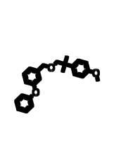 COc1ccc(C(C)(C)COCc2cccc(Oc3ccccc3)c2)cc1